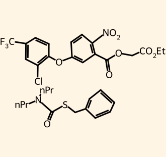 CCCN(CCC)C(=O)SCc1ccccc1.CCOC(=O)COC(=O)c1cc(Oc2ccc(C(F)(F)F)cc2Cl)ccc1[N+](=O)[O-]